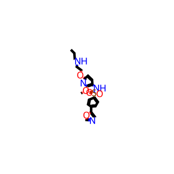 CCCNCCOc1ccc(NS(=O)(=O)c2ccc(-c3cnco3)cc2)c(OC)n1